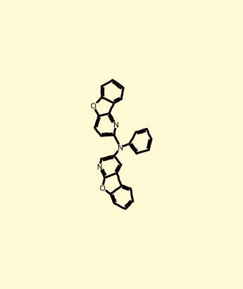 c1ccc(N(c2cnc3oc4ccccc4c3c2)c2ccc3oc4ccccc4c3n2)cc1